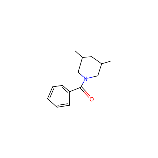 CC1CC(C)CN(C(=O)c2ccccc2)C1